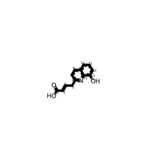 O=C(O)C=CCc1ccc2cccc(O)c2n1